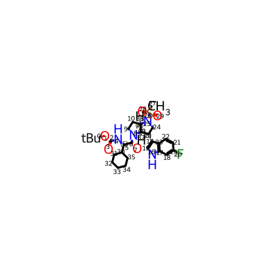 CC(C)(C)OC(=O)N[C@H](C(=O)N1CC[C@@H]2[C@H]1[C@@H](c1c[nH]c3cc(F)ccc13)CN2S(C)(=O)=O)C1CCCCC1